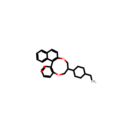 CCC1CCC(C2COc3ccc4ccccc4c3-c3c(ccc4ccccc34)OC2)CC1